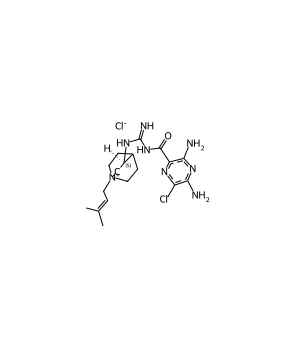 CC(C)=CC[N+]12CCC(CC1)[C@H](NC(=N)NC(=O)c1nc(Cl)c(N)nc1N)C2.[Cl-]